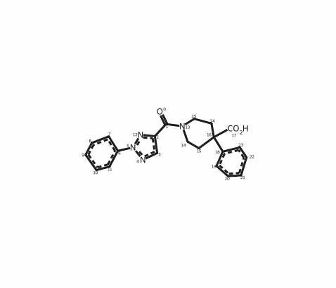 O=C(c1cnn(-c2ccccc2)n1)N1CCC(C(=O)O)(c2ccccc2)CC1